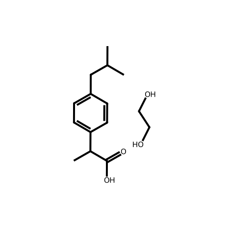 CC(C)Cc1ccc(C(C)C(=O)O)cc1.OCCO